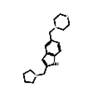 c1cc2[nH]c(CN3CCCC3)cc2cc1CN1CCSCC1